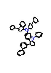 c1ccc(-c2ccc(N(c3ccc4c5c(-c6cccc(-c7ccccc7)c6)cccc5n(-c5ccccc5)c4c3)c3ccc(-c4ccccc4)c4ccccc34)cc2)cc1